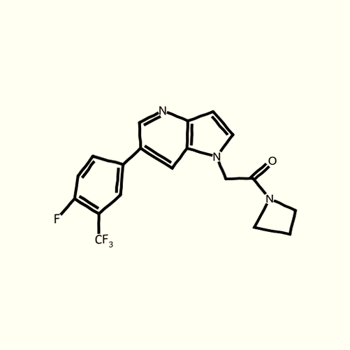 O=C(Cn1ccc2ncc(-c3ccc(F)c(C(F)(F)F)c3)cc21)N1CCC1